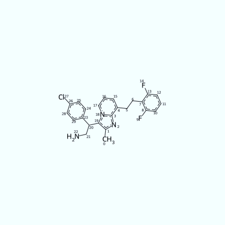 Cc1nc2c(CCc3c(F)cccc3F)cccn2c1C(CN)c1ccc(Cl)cc1